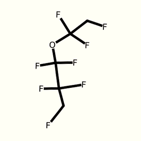 FCC(F)(F)OC(F)(F)C(F)(F)CF